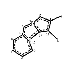 Cc1cn2cc3ccccn3c2c1C